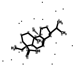 CC(C)C1=CC2=CCC3[C@](CN)(C(=O)O)CCC[C@]3(C)[C@H]2CC1